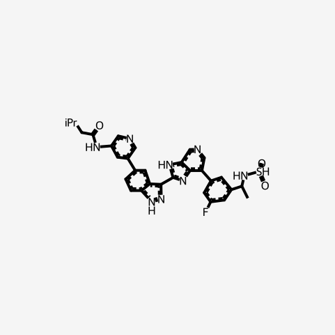 CC(C)CC(=O)Nc1cncc(-c2ccc3[nH]nc(-c4nc5c(-c6cc(F)cc(C(C)N[SH](=O)=O)c6)cncc5[nH]4)c3c2)c1